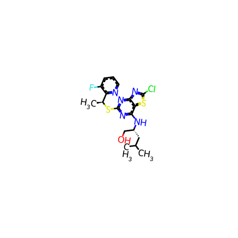 CC(C)C[C@H](CO)Nc1nc(S[C@@H](C)c2ncccc2F)nc2nc(Cl)sc12